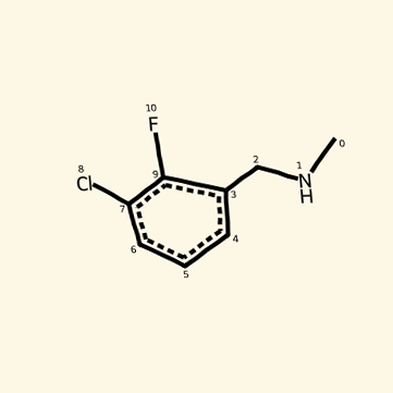 CNCc1cccc(Cl)c1F